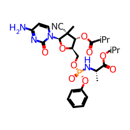 CC(C)OC(=O)[C@H](C)NP(=O)(OC[C@H]1O[C@@H](n2ccc(N)nc2=O)[C@](C)(C#N)[C@@H]1OC(=O)C(C)C)Oc1ccccc1